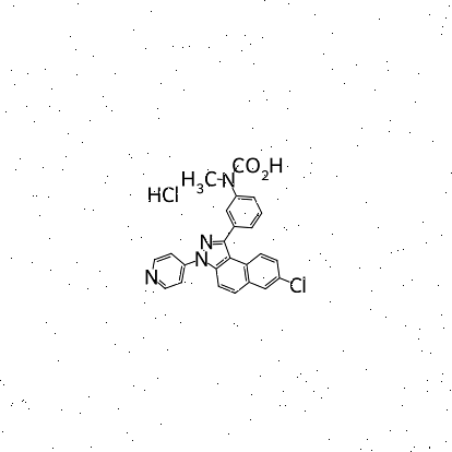 CN(C(=O)O)c1cccc(-c2nn(-c3ccncc3)c3ccc4cc(Cl)ccc4c23)c1.Cl